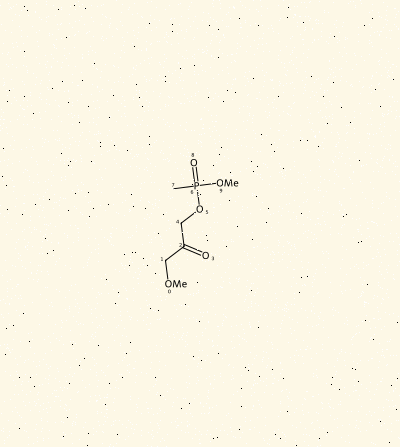 COCC(=O)COP(C)(=O)OC